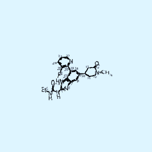 CCNC(=O)Nc1nc2cc(C3CCN(C)C(=O)C3)cc(-c3ncccc3F)c2[nH]1